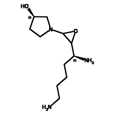 NCCCC[C@H](N)C1OC1N1CC[C@@H](O)C1